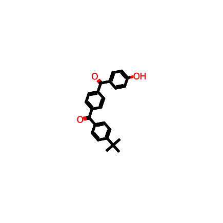 CC(C)(C)c1ccc(C(=O)c2ccc(C(=O)c3ccc(O)cc3)cc2)cc1